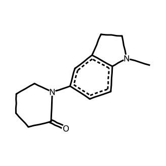 CN1CCc2cc(N3CCCCC3=O)ccc21